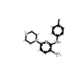 Cc1ccc(Nc2nc(N3CCOCC3)ccc2[N+](=O)[O-])cc1